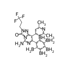 Bc1c(B)c(B)c(-c2nc(N)n3c(=O)n(CCC(F)(F)F)nc3c2-c2cc(C)nc(C)c2)c(B)c1B